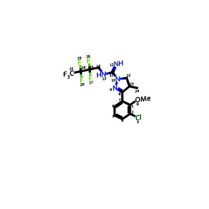 COc1c(Cl)cccc1C1=NN(C(=N)NCC(F)(F)C(F)(F)C(F)(F)F)CC1C